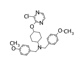 COc1ccc(CN(Cc2ccc(OC)cc2)C2CCC(Oc3nccnc3Cl)CC2)cc1